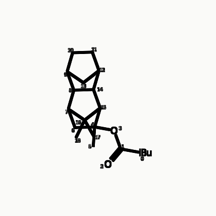 CCC(C)C(=O)OC1(C)CC2C3C4CCC(C4)C3C1C2(C)C